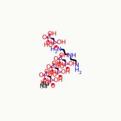 NCCNCCN.O=P(O)(O)CP(=O)(O)O.O=P(O)(O)CP(=O)(O)O.O=P(O)(O)CP(=O)(O)O.O=P(O)(O)CP(=O)(O)O.[Na].[Na]